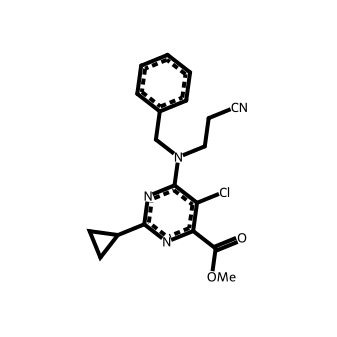 COC(=O)c1nc(C2CC2)nc(N(CCC#N)Cc2ccccc2)c1Cl